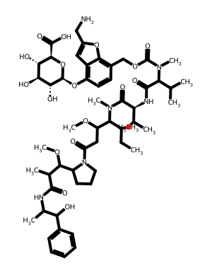 CCC(C)C(C(CC(=O)N1CCCC1C(OC)C(C)C(=O)NC(C)C(O)c1ccccc1)OC)N(C)C(=O)[C@@H](NC(=O)C(C(C)C)N(C)C(=O)OCc1ccc(O[C@@H]2O[C@H](C(=O)O)[C@@H](O)[C@H](O)[C@H]2O)c2cc(CN)oc12)C(C)C